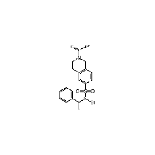 CCN([C@@H](C)c1ccccc1)S(=O)(=O)c1ccc2c(c1)CCN(C(=O)C(C)C)C2